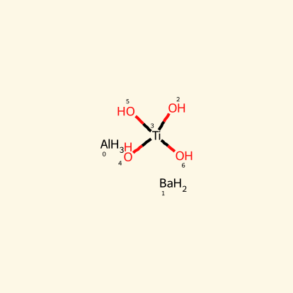 [AlH3].[BaH2].[OH][Ti]([OH])([OH])[OH]